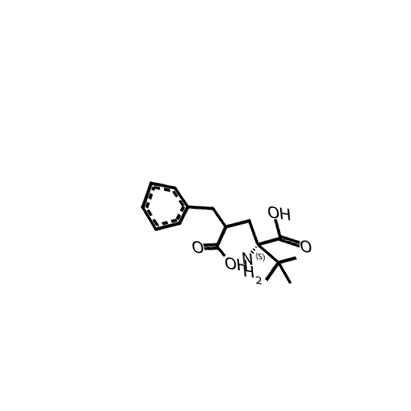 CC(C)(C)[C@@](N)(CC(Cc1ccccc1)C(=O)O)C(=O)O